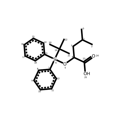 CC(C)CC(O[Si](c1ccccc1)(c1ccccc1)C(C)(C)C)C(=O)O